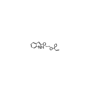 C=CC(=O)OCCOc1cc2ccccc2[nH]1